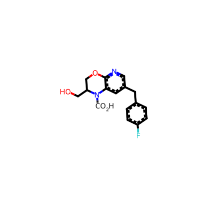 O=C(O)N1c2cc(Cc3ccc(F)cc3)cnc2OCC1CO